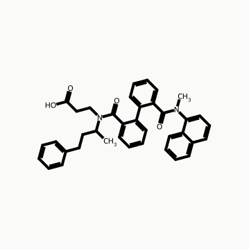 CC(CCc1ccccc1)N(CCC(=O)O)C(=O)c1ccccc1-c1ccccc1C(=O)N(C)c1cccc2ccccc12